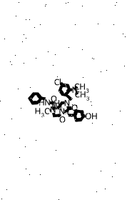 CN(C)c1cc(Cl)ccc1CN1C[C@@H]2N(C(=O)CN(C)N2C(=O)NCc2ccccc2)[C@@H](Cc2ccc(O)cc2)C1=O